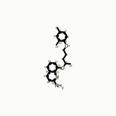 Cc1ccc(OCCCC(C)Oc2cccc3ccc(N)nc23)c(C)c1